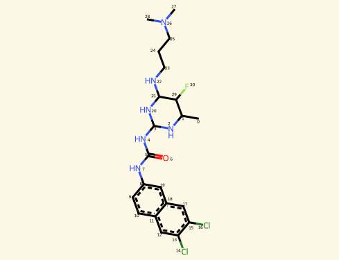 CC1NC(NC(=O)Nc2ccc3cc(Cl)c(Cl)cc3c2)NC(NCCCN(C)C)C1F